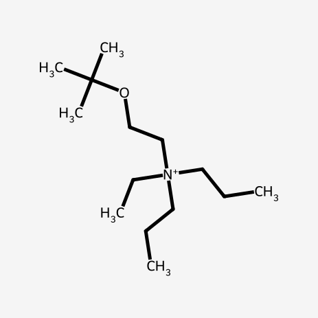 CCC[N+](CC)(CCC)CCOC(C)(C)C